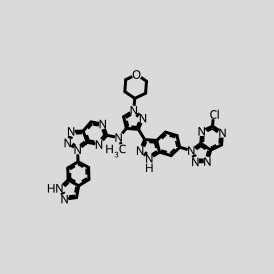 CN(c1ncc2nnn(-c3ccc4cn[nH]c4c3)c2n1)c1cn(C2CCOCC2)nc1-c1n[nH]c2cc(-n3nnc4cnc(Cl)nc43)ccc12